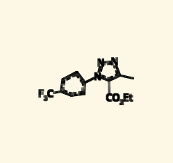 CCOC(=O)c1c(C)nnn1-c1ccc(C(F)(F)F)cc1